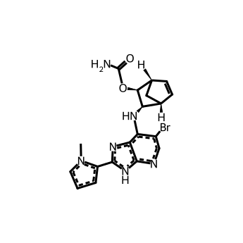 Cn1cccc1-c1nc2c(N[C@H]3[C@@H](OC(N)=O)[C@@H]4C=C[C@H]3C4)c(Br)cnc2[nH]1